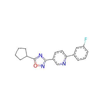 Fc1cccc(-c2ccc(-c3noc(C4CCCC4)n3)cn2)c1